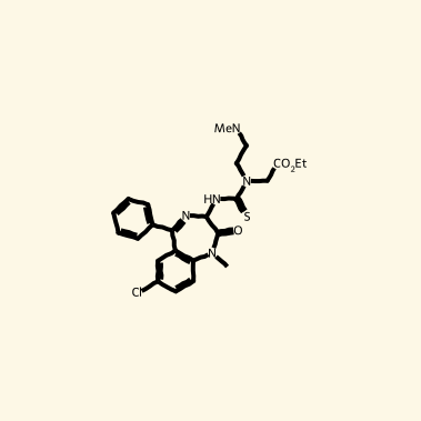 CCOC(=O)CN(CCNC)C(=S)NC1N=C(c2ccccc2)c2cc(Cl)ccc2N(C)C1=O